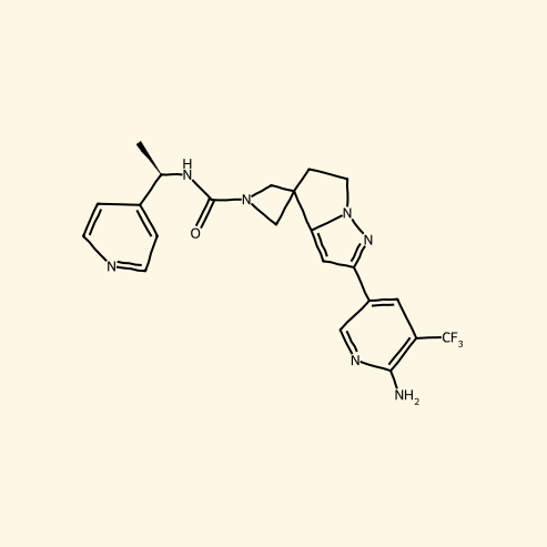 C[C@@H](NC(=O)N1CC2(CCn3nc(-c4cnc(N)c(C(F)(F)F)c4)cc32)C1)c1ccncc1